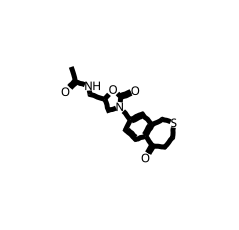 CC(=O)NCC1CN(c2ccc3c(c2)CSCCC3=O)C(=O)O1